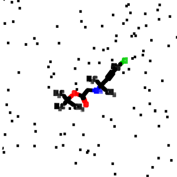 CC(C)(C#[C][Mg][Cl])NCC(=O)OC(C)(C)C